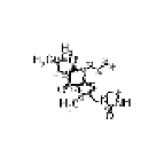 Cc1c(CN2CCNC2=O)sc2c1c(=O)n(CC(C)C)c(=O)n2CCCF